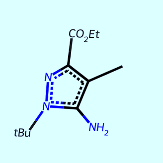 CCOC(=O)c1nn(C(C)(C)C)c(N)c1C